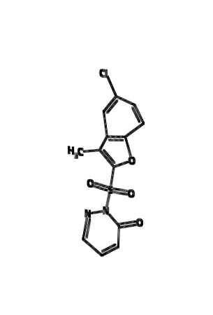 Cc1c(S(=O)(=O)n2ncccc2=O)oc2ccc(Cl)cc12